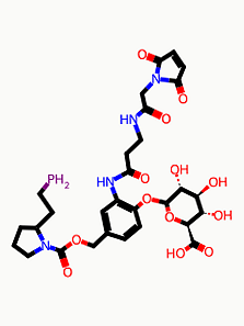 O=C(CN1C(=O)C=CC1=O)NCCC(=O)Nc1cc(COC(=O)N2CCCC2CCP)ccc1OC1O[C@H](C(=O)O)[C@@H](O)[C@H](O)[C@H]1O